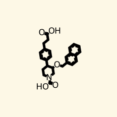 O=C(O)CCc1ccc(C2CCN(C(=O)O)CC2OCc2ccc3ccccc3c2)cc1